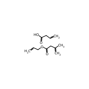 C=CCC(=O)O.C=CCOC(=O)CC(=C)C